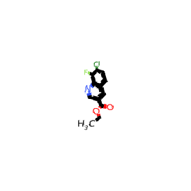 CCOC(=O)c1cnc2c(F)c(Cl)ccc2c1